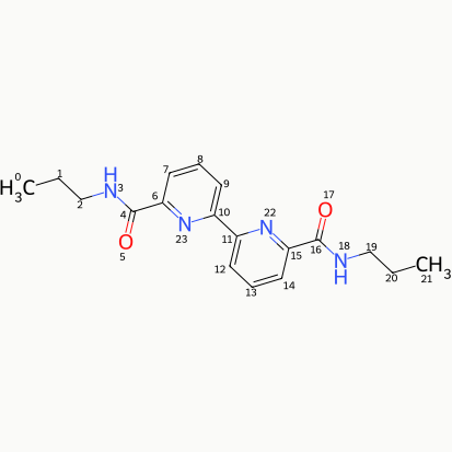 CCCNC(=O)c1cccc(-c2cccc(C(=O)NCCC)n2)n1